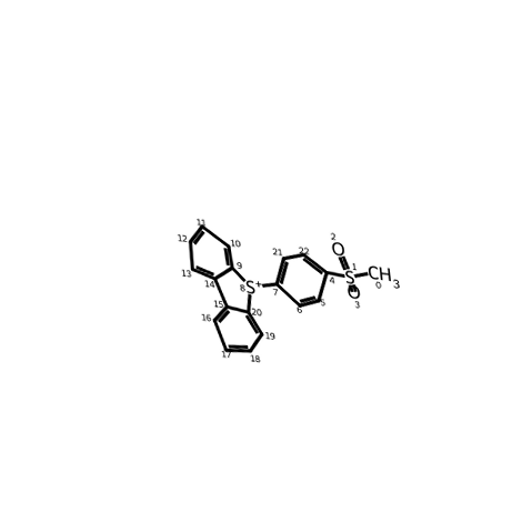 CS(=O)(=O)c1ccc(-[s+]2c3ccccc3c3ccccc32)cc1